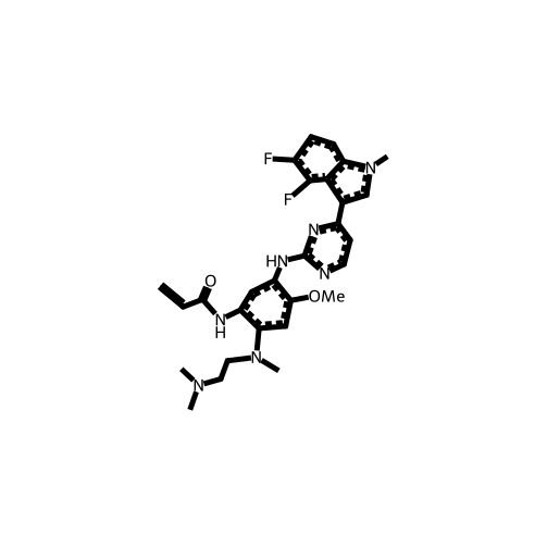 C=CC(=O)Nc1cc(Nc2nccc(-c3cn(C)c4ccc(F)c(F)c34)n2)c(OC)cc1N(C)CCN(C)C